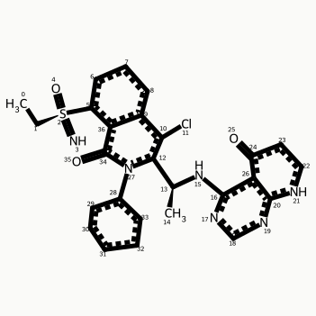 CC[S@@](=N)(=O)c1cccc2c(Cl)c([C@H](C)Nc3ncnc4[nH]ccc(=O)c34)n(-c3ccccc3)c(=O)c12